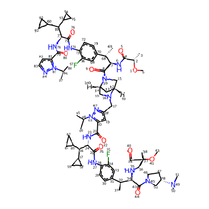 CO[C@@H](C)C(=O)N[C@@H](C(=O)N1C[C@H]2C[C@@H]1CN2Cc1cc(C(=O)N[C@H](C(=O)Nc2ccc([C@H](C)[C@@H](NCC(C)(C=O)OC)C(=O)N3CC[C@H](N(C)C)C3)cc2F)C(C2CC2)C2CC2)n(C(C)C)n1)[C@@H](C)c1ccc(NC(=O)[C@@H](NC(=O)c2ccnn2C(C)C)C(C2CC2)C2CC2)c(F)c1